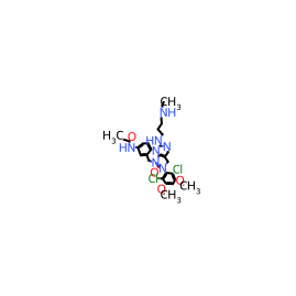 CCNCCCCNc1ncc2c(n1)N(Cc1cccc(NC(=O)CC)c1)C(=O)N(c1c(Cl)c(OC)cc(OC)c1Cl)C2